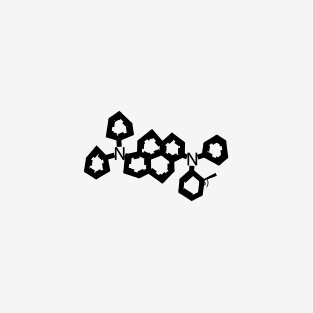 C[C@H]1CC=CC=C1N(c1ccccc1)c1ccc2ccc3c(N(c4ccccc4)c4ccccc4)ccc4ccc1c2c43